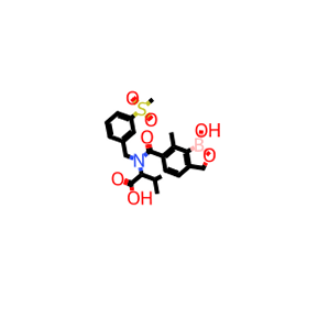 Cc1c(C(=O)N(Cc2cccc(S(C)(=O)=O)c2)C(C(=O)O)C(C)C)ccc2c1B(O)OC2